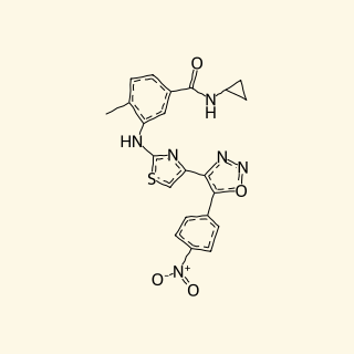 Cc1ccc(C(=O)NC2CC2)cc1Nc1nc(-c2nnoc2-c2ccc([N+](=O)[O-])cc2)cs1